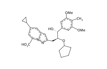 COc1cc([C@@H](O)[C@H](Cc2cc3cc(C4CC4)cc(C(=O)O)n3n2)OC2CCCC2)cc(OC)c1C